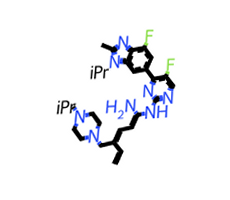 C=C/C(=C\C=C(/N)Nc1ncc(F)c(-c2cc(F)c3nc(C)n(C(C)C)c3c2)n1)CN1CCN(C(C)C)CC1